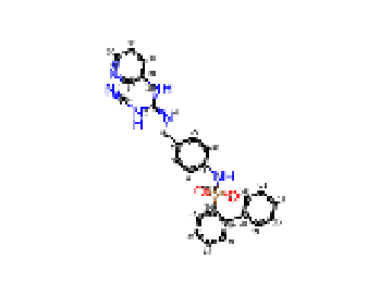 N#CN/C(=N\Cc1ccc(NS(=O)(=O)c2ccccc2-c2ccccc2)cc1)Nc1cccnc1